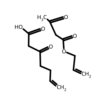 C=CCCC(=O)CC(=O)O.C=CCOC(=O)CC(C)=O